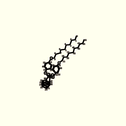 CCCCCCCCCCOc1ccc(OC(=O)[C]23[CH]4[CH]5[CH]6[CH]2[Fe]56432789[CH]3[CH]2[CH]7[C]8(C(=O)Oc2ccc(OCCCCCCCCCC)cc2)[CH]39)cc1